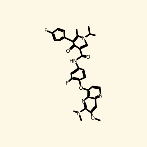 COc1cc2nccc(Oc3ccc(NC(=O)c4cn(C(C)C)c(C)c(-c5ccc(F)cc5)c4=O)cc3F)c2nc1N(C)C